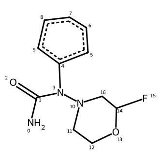 NC(=O)N(c1ccccc1)N1CCOC(F)C1